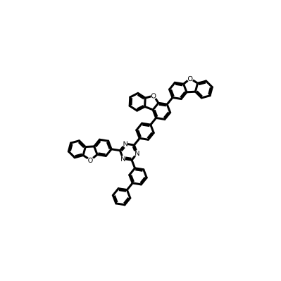 c1ccc(-c2cccc(-c3nc(-c4ccc(-c5ccc(-c6ccc7oc8ccccc8c7c6)c6oc7ccccc7c56)cc4)nc(-c4ccc5c(c4)oc4ccccc45)n3)c2)cc1